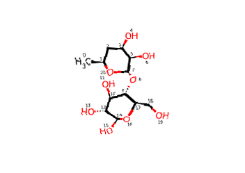 C[C@H]1C[C@@H](O)[C@@H](O)[C@H](O[C@H]2[C@H](O)[C@@H](O)[C@H](O)O[C@@H]2CO)O1